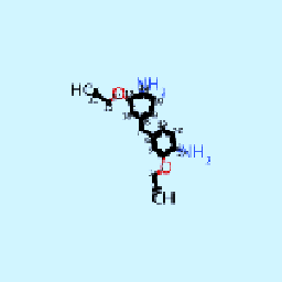 C#CCOc1cc(Cc2ccc(N)c(OCC#C)c2)ccc1N